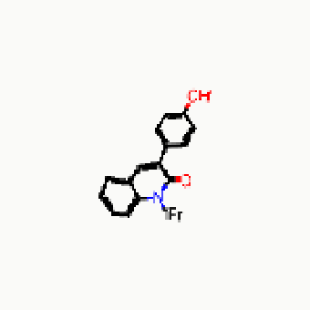 CC(C)n1c(=O)c(-c2ccc(O)cc2)cc2ccccc21